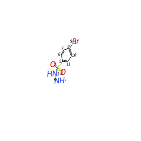 [NH]NS(=O)(=O)c1ccc(Br)cc1